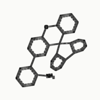 Nc1ccccc1-c1ccc2c(c1)C1(c3ccccc3O2)c2ccccc2-c2ccccc21